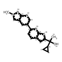 Cn1cc2cc(-c3ccc4cc(C(C)(O)C5CC5)sc4n3)cnc2n1